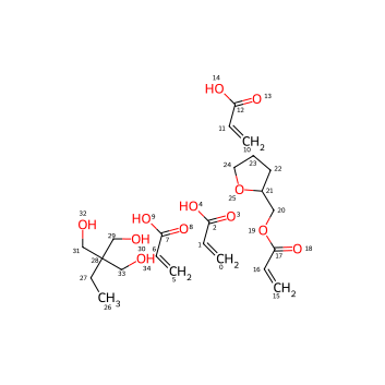 C=CC(=O)O.C=CC(=O)O.C=CC(=O)O.C=CC(=O)OCC1CCCO1.CCC(CO)(CO)CO